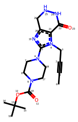 CC#CCn1c(N2CCN(C(=O)OC(C)(C)C)CC2)nc2c1C(=O)NNC2